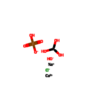 O=S(=O)([O-])O.OB(O)O.[Ca+2].[Cl-].[Na+].[OH-]